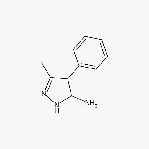 CC1=NNC(N)C1c1ccccc1